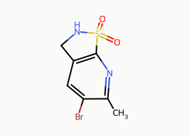 Cc1nc2c(cc1Br)CNS2(=O)=O